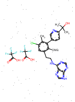 COc1c(CCNc2ncnc3[nH]cnc23)cc(Cl)c(C)c1-c1ccc(C(C)(C)O)nc1.O=C(O)C(F)(F)F.O=C(O)C(F)(F)F